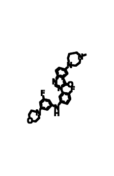 CN1CCCN(c2ccc3ncn(-c4cc(Nc5cc(F)cc(N6CCOCC6)c5)ccc4F)c(=O)c3c2)CC1